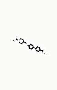 CCCCNC(=O)c1ccc(-c2ccc(OCC3CCN(C(=O)OC(C)C)CC3)cc2)cc1